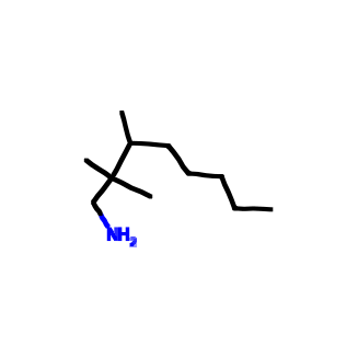 CCCCCC(C)C(C)(C)CN